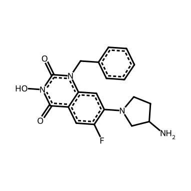 NC1CCN(c2cc3c(cc2F)c(=O)n(O)c(=O)n3Cc2ccccc2)C1